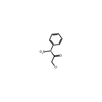 O=C(CCl)N(c1ccccc1)[N+](=O)[O-]